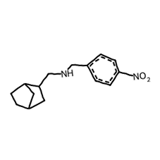 O=[N+]([O-])c1ccc(CNCC2CC3CCC2C3)cc1